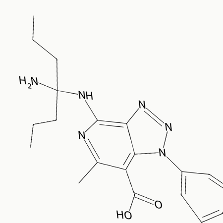 CCCC(N)(CCC)Nc1nc(C)c(C(=O)O)c2c1nnn2-c1ccccc1